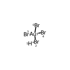 [Br][Au-]([Br])([Br])[Br].[H+]